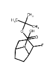 CC(C)(C)OC(=O)N1C2CCC1C(F)C(O)C2